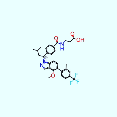 COc1c(-c2ccc(C(F)(F)F)cc2C)ccc2c1cnn2[C@@H](CC(C)C)c1ccc(C(=O)NCCC(=O)O)cc1